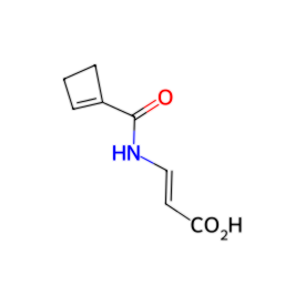 O=C(O)C=CNC(=O)C1=CCC1